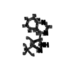 Cc1c(C(C)(C)C)n[nH]c1-c1ncnc2ccccc12